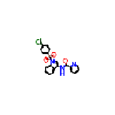 O=C(Nc1cn(S(=O)(=O)c2ccc(Cl)cc2)c2ccccc12)c1ccccn1